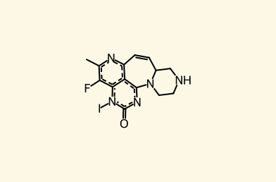 Cc1nc2c3c(nc(=O)n(I)c3c1F)N1CCNCC1C=C2